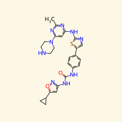 Cc1nc(Nc2ncc(-c3ccc(NC(=O)Nc4cc(C5CC5)on4)cc3)s2)cc(N2CCNCC2)n1